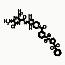 Nc1nc(N)c(C(=O)/N=C2\NCC3(CCN(C(=O)c4cccc(S(=O)(=O)N5CCC(S(=O)(=O)C6=CCCC=C6)C5)c4)CC3)N2)nc1Cl